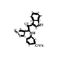 COc1cccc(NC(C(=O)c2c[nH]c3ccccc23)c2cnn(C)c2)c1